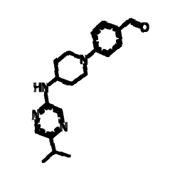 CC(C)c1cnc(NC2CCN(c3ccc(C=O)cc3)CC2)cn1